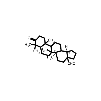 CC1(C)C(=O)CCC2(C)C1CCC1(C)C2CCC2[C@H]3CCCC3(C=O)CC[C@]21C